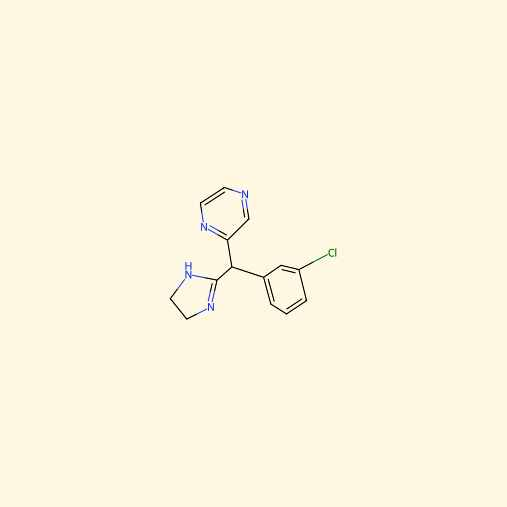 Clc1cccc(C(C2=NCCN2)c2cnccn2)c1